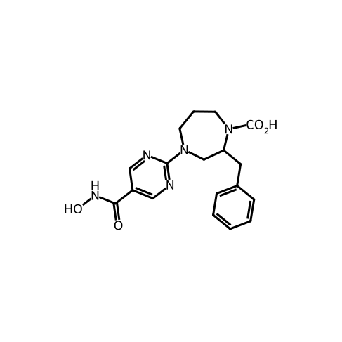 O=C(NO)c1cnc(N2CCCN(C(=O)O)C(Cc3ccccc3)C2)nc1